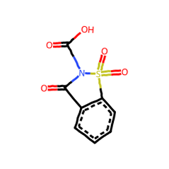 O=C(O)N1C(=O)c2ccccc2S1(=O)=O